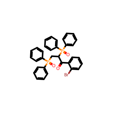 O=C(c1ccccc1Br)C(CP(=O)(c1ccccc1)c1ccccc1)P(=O)(c1ccccc1)c1ccccc1